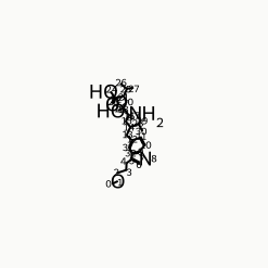 COCCCc1cn(C)c2ccc(CC(CC(N)C(O)CC(C(=O)O)C(C)C)C(C)C)cc12